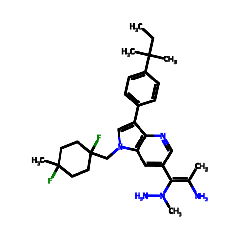 CCC(C)(C)c1ccc(-c2cn(CC3(F)CCC(C)(F)CC3)c3cc(/C(=C(\C)N)N(C)N)cnc23)cc1